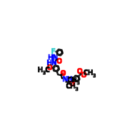 COC(=O)c1ccc(OC(C)(C)CNCC(=O)Cc2ccc(NC(=O)Nc3ccccc3F)c(OC)c2)cc1